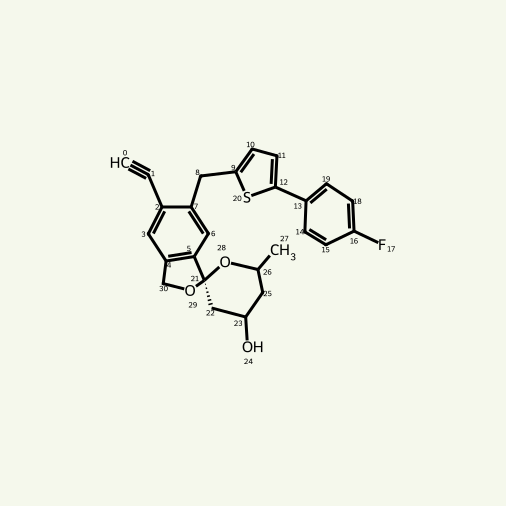 C#Cc1cc2c(cc1Cc1ccc(-c3ccc(F)cc3)s1)[C@]1(CC(O)CC(C)O1)OC2